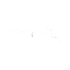 CCCCCCCCCCCC(=O)COS(=O)(=O)CCN